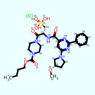 CCCCOC(=O)N1CCN(C(=O)[C@H](CP(=O)(O)O)NC(=O)c2cc(N3CC[C@H](OC)C3)nc(-c3ccccc3)n2)CC1.Cl